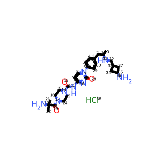 CC(Cc1ccc(-n2ccc(NC(=O)N3CCN(C(=O)C(C)(C)N)CC3)nc2=O)cc1)NCC1CC(N)C1.Cl